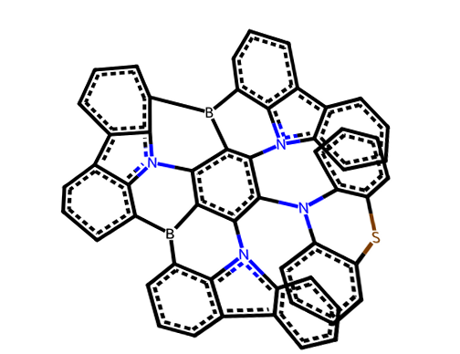 c1ccc2c(c1)Sc1ccccc1N2c1c2c3c4c5c1-n1c6ccccc6c6cccc(c61)B5c1cccc5c6cccc(c6n-4c15)B3c1cccc3c4ccccc4n-2c13